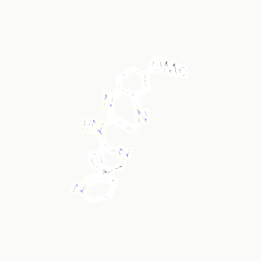 COc1ccc2nc(NC3=NC[C@@]4(CN5CCC4CC5)O3)cnc2c1